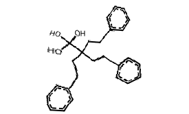 OC(O)(O)C(CCc1ccccc1)(CCc1ccccc1)CCc1ccccc1